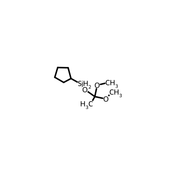 COC(C)(OC)O[SiH2]C1CCCC1